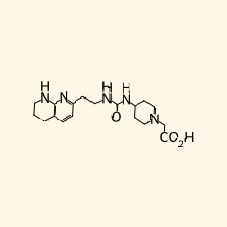 O=C(O)CN1CCC(NC(=O)NCCc2ccc3c(n2)NCCC3)CC1